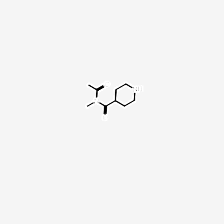 CC(=O)N(C)C(=O)C1CCNCC1